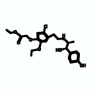 CCOC(=O)COc1cc(Cl)c(CCN[C@@H](C)[C@H](O)c2ccc(O)cc2)cc1OCC